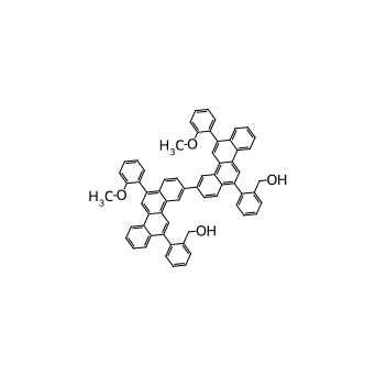 COc1ccccc1-c1cc2c3cc(-c4ccc5c(-c6ccccc6OC)cc6c7ccccc7c(-c7ccccc7CO)cc6c5c4)ccc3c(-c3ccccc3CO)cc2c2ccccc12